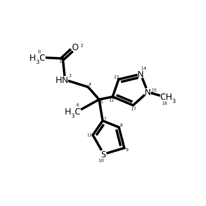 CC(=O)NCC(C)(c1ccsc1)c1cnn(C)c1